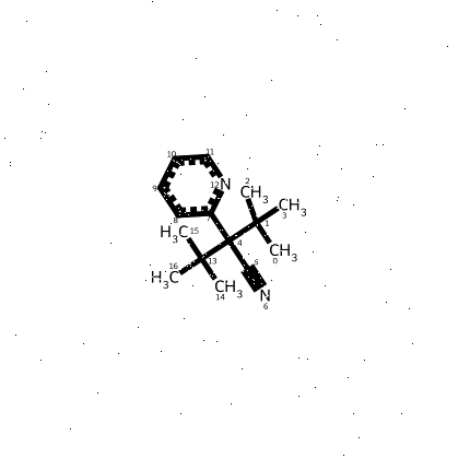 CC(C)(C)C(C#N)(c1ccccn1)C(C)(C)C